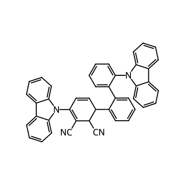 N#CC1=C(n2c3ccccc3c3ccccc32)C=CC(c2ccccc2-c2ccccc2-n2c3ccccc3c3ccccc32)C1C#N